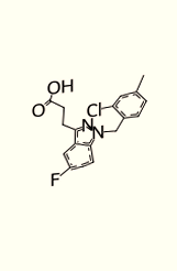 Cc1ccc(Cn2nc(CCC(=O)O)c3cc(F)ccc32)c(Cl)c1